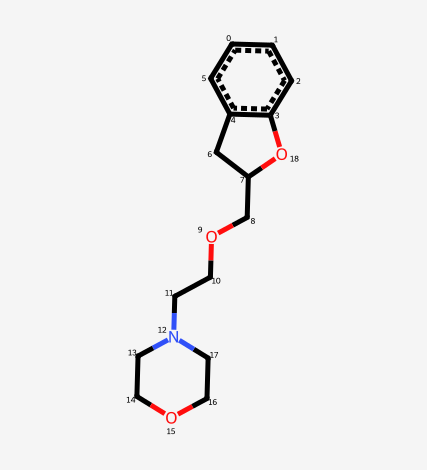 c1ccc2c(c1)CC(COCCN1CCOCC1)O2